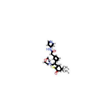 CC1(C)CC(=O)c2sc(N3CCOCC3)c(-c3cccc(CC(=O)Nc4ccncc4)c3)c2C1